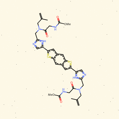 C=C(C)CN(Cc1ncc(-c2cc3cc4sc(-c5cnc(CN(CC(=C)C)C(=O)CNC(=O)OC)[nH]5)cc4cc3s2)[nH]1)C(=O)CNC(=O)OC